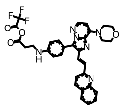 O=C(CCNc1ccc(-c2c(/C=C/c3ccc4ccccc4n3)nc3c(N4CCOCC4)ccnn23)cc1)OC(=O)C(F)(F)F